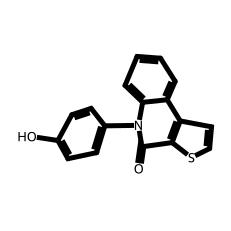 O=c1c2sccc2c2ccccc2n1-c1ccc(O)cc1